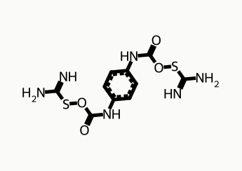 N=C(N)SOC(=O)Nc1ccc(NC(=O)OSC(=N)N)cc1